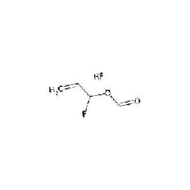 C=CC(F)OC=O.F